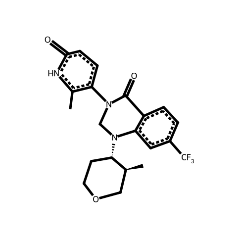 Cc1[nH]c(=O)ccc1N1CN([C@H]2CCOC[C@@H]2C)c2cc(C(F)(F)F)ccc2C1=O